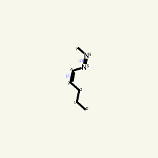 CCC/C=C\N=N/C